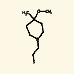 COC1(C)CCN(CCF)CC1